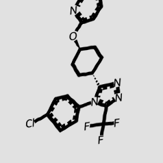 FC(F)(F)c1nnc([C@H]2CC[C@H](Oc3ccccn3)CC2)n1-c1ccc(Cl)cc1